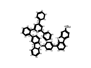 CC(C)(C)c1ccc2c(c1)sc1c(C3=CCC(N4c5ccc(-c6ccccc6-c6cc(C7=CC=CCC7)cc(-c7ccccc7)n6)cc5C5C=CC=CC54)C=C3)cccc12